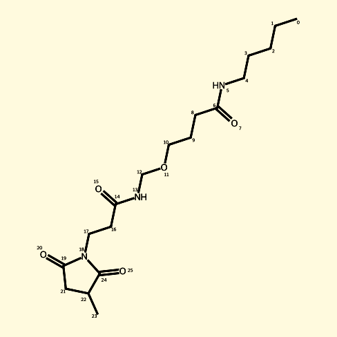 CCCCCNC(=O)CCCOCNC(=O)CCN1C(=O)CC(C)C1=O